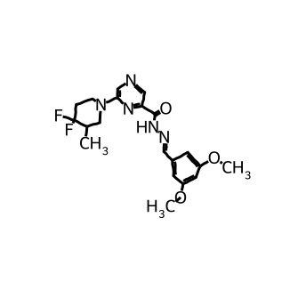 COc1cc(C=NNC(=O)c2cncc(N3CCC(F)(F)C(C)C3)n2)cc(OC)c1